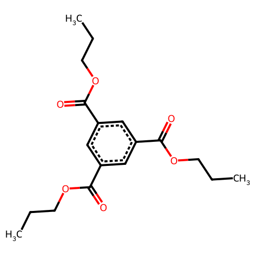 CCCOC(=O)c1cc(C(=O)OCCC)cc(C(=O)OCCC)c1